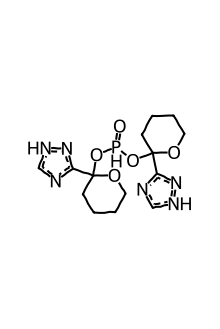 O=[PH](OC1(c2nc[nH]n2)CCCCO1)OC1(c2nc[nH]n2)CCCCO1